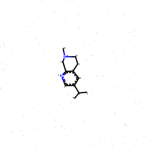 CC(C)c1cnc2c(c1)CCN(C)C2